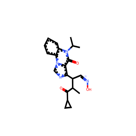 CC(C(=O)C1CC1)C(/C=N\O)c1ncn2c1c(=O)n(C(C)C)c1ccccc12